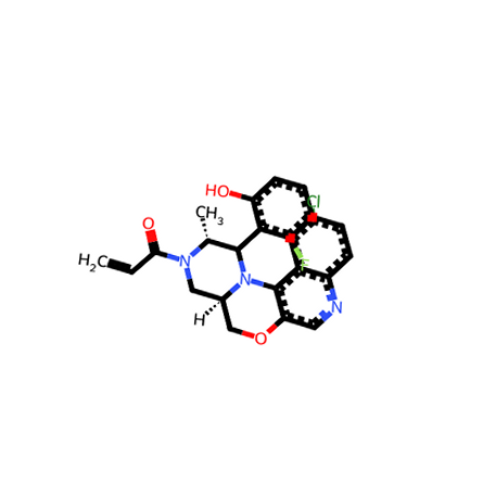 C=CC(=O)N1C[C@@H]2COc3cnc4ccc(Cl)cc4c3N2C(c2c(O)cccc2F)[C@H]1C